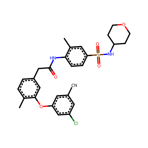 Cc1cc(S(=O)(=O)NC2CCOCC2)ccc1NC(=O)Cc1ccc(C)c(Oc2cc(Cl)cc(C#N)c2)c1